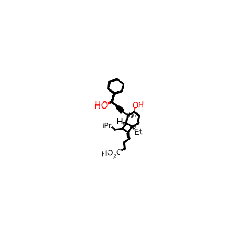 CC[C@]12CC[C@@H](O)[C@H](C#CC(O)C3CCCCC3)[C@H]1C(CC(C)C)C2=CCCC(=O)O